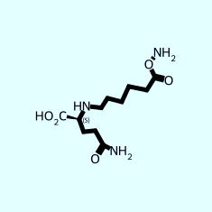 NOC(=O)CCCCCN[C@@H](CCC(N)=O)C(=O)O